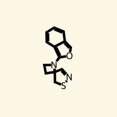 C1=NSCC12CCN2c1occ2ccccc12